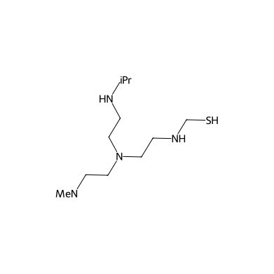 CNCCN(CCNCS)CCNC(C)C